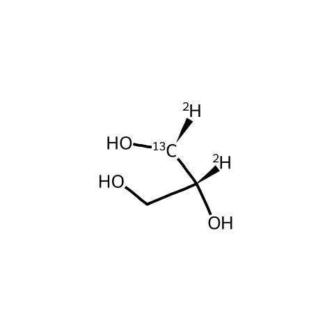 [2H][13C@H](O)[C@]([2H])(O)CO